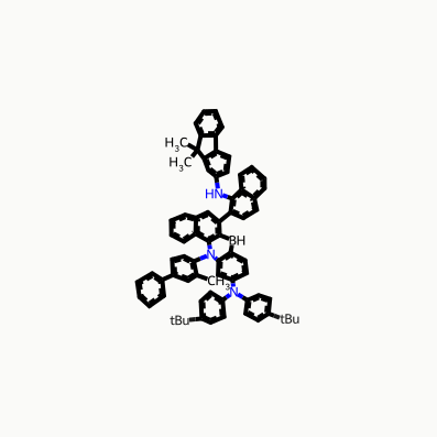 Cc1cc(-c2ccccc2)ccc1N1c2cc(N(c3ccc(C(C)(C)C)cc3)c3ccc(C(C)(C)C)cc3)ccc2Bc2c(-c3ccc4ccccc4c3Nc3ccc4c(c3)C(C)(C)c3ccccc3-4)cc3ccccc3c21